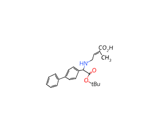 CC(=CCNC(C(=O)OC(C)(C)C)c1ccc(-c2ccccc2)cc1)C(=O)O